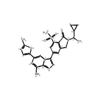 Cc1ncc(-c2cn3c(-c4cc5c(c(S(C)(=O)=O)c4)C(=O)N(C(C)C4CC4)C5)cnc3c(N)n2)o1